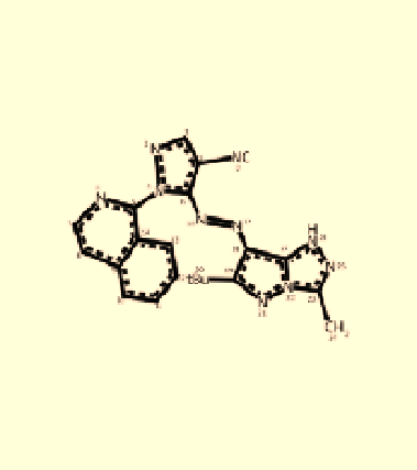 [C-]#[N+]c1cnn(-c2nccc3ccccc23)c1/N=N/c1c(C(C)(C)C)nn2c(C)n[nH]c12